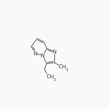 CCc1c(C)nc2cccnn12